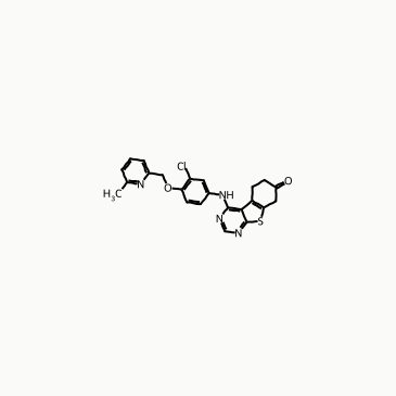 Cc1cccc(COc2ccc(Nc3ncnc4sc5c(c34)CCC(=O)C5)cc2Cl)n1